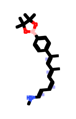 CN/C=C/C=C\C=C(C)\C=C(/C)c1ccc(B2OC(C)(C)C(C)(C)O2)cc1